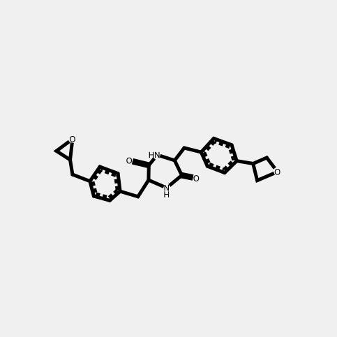 O=C1NC(Cc2ccc(C3COC3)cc2)C(=O)NC1Cc1ccc(CC2CO2)cc1